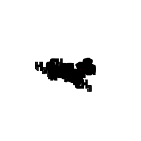 CO/N=C(\C(=O)N[C@@H]1C(=O)N2C(C(=O)O)=C(CSc3nnnn3NC(C)C)CS[C@@H]12)c1csc(NC(c2ccccc2)(c2ccccc2)c2ccccc2)n1